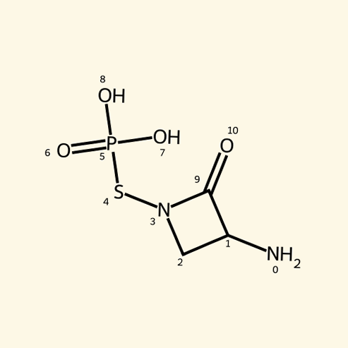 NC1CN(SP(=O)(O)O)C1=O